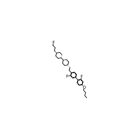 CCCCOc1ccc(-c2ccc(CC[C@H]3CC[C@H]([C@H]4CC[C@H](CCCF)CC4)CC3)c(F)c2)c(F)c1